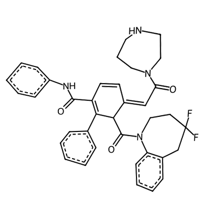 O=C(Nc1ccccc1)C1=C(c2ccccc2)C(C(=O)N2CCC(F)(F)Cc3ccccc32)C(=CC(=O)N2CCCNCC2)C=C1